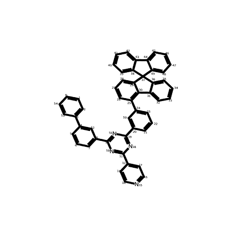 c1ccc(-c2cccc(-c3nc(-c4ccncc4)nc(-c4cccc(-c5cccc6c5-c5ccccc5C65c6ccccc6-c6ccccc65)c4)n3)c2)cc1